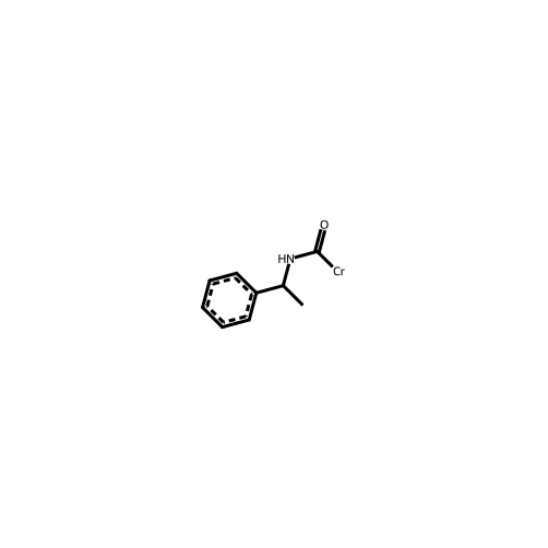 CC(N[C](=O)[Cr])c1ccccc1